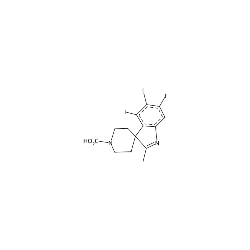 CC1=Nc2cc(I)c(I)c(I)c2C12CCN(C(=O)O)CC2